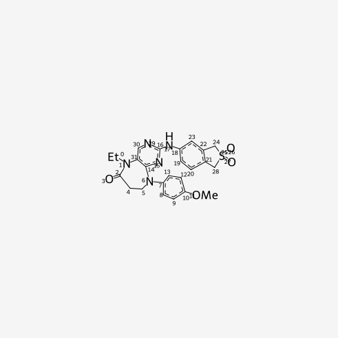 CCN1C(=O)CCN(c2ccc(OC)cc2)c2nc(Nc3ccc4c(c3)CS(=O)(=O)C4)ncc21